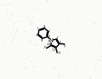 Cc1cn(-c2ccccc2)c(C)c1C